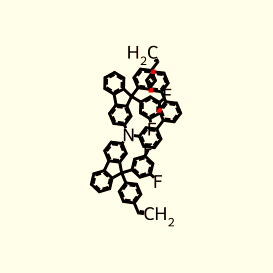 C=Cc1ccc(C2(c3cc(F)cc(F)c3)c3ccccc3-c3ccc(N(c4cccc(-c5cccc(-c6ccccc6)c5)c4)c4ccc5c(c4)C(c4ccc(C=C)cc4)(c4cc(F)cc(F)c4)c4ccccc4-5)cc32)cc1